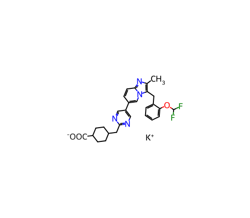 Cc1nc2ccc(-c3cnc(CC4CCC(C(=O)[O-])CC4)nc3)cn2c1Cc1ccccc1OC(F)F.[K+]